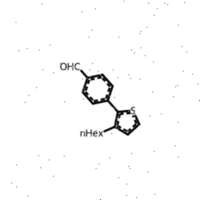 CCCCCCc1ccsc1-c1ccc(C=O)cc1